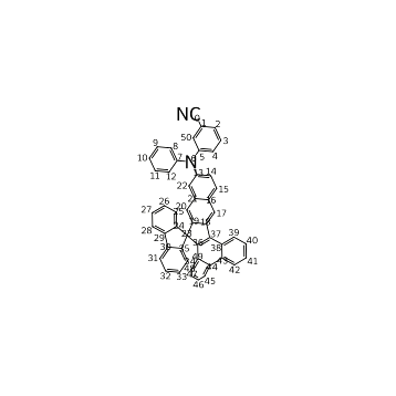 N#Cc1cccc(N(c2ccccc2)c2ccc3cc4c(cc3c2)C2(c3ccccc3-c3ccccc32)c2c-4c3ccccc3c3ccccc23)c1